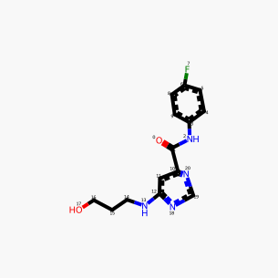 O=C(Nc1ccc(F)cc1)c1cc(NCCCO)ncn1